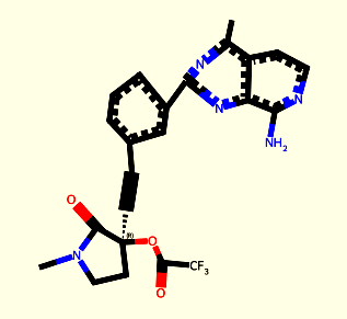 Cc1nc(-c2cccc(C#C[C@]3(OC(=O)C(F)(F)F)CCN(C)C3=O)c2)nc2c(N)nccc12